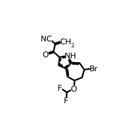 C=C(C#N)C(=O)c1cc2c([nH]1)=CC(Br)CC(OC(F)F)C=2